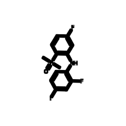 CP(C)(=O)c1ccc(F)cc1Nc1ccc(I)cc1F